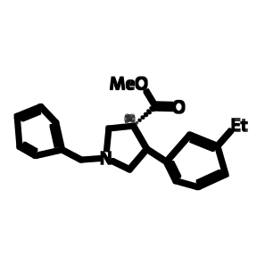 CCc1cccc(C2CN(Cc3ccccc3)C[C@@H]2C(=O)OC)c1